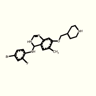 Cc1cc2c(cc1OCC1CCNCC1)N=CNC2Nc1ccc(Br)cc1F